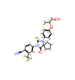 N#Cc1ccc(N2C(=O)C3(CCCC3)N(c3ccc4c(c3)SCC(CO)O4)C2=S)cc1C(F)(F)F